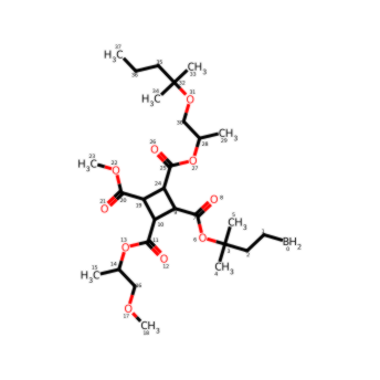 BCCC(C)(C)OC(=O)C1C(C(=O)OC(C)COC)C(C(=O)OC)C1C(=O)OC(C)COC(C)(C)CCC